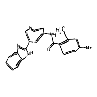 Cc1cc(Br)ccc1C(=O)Nc1cncc(-c2nc3ccccc3[nH]2)c1